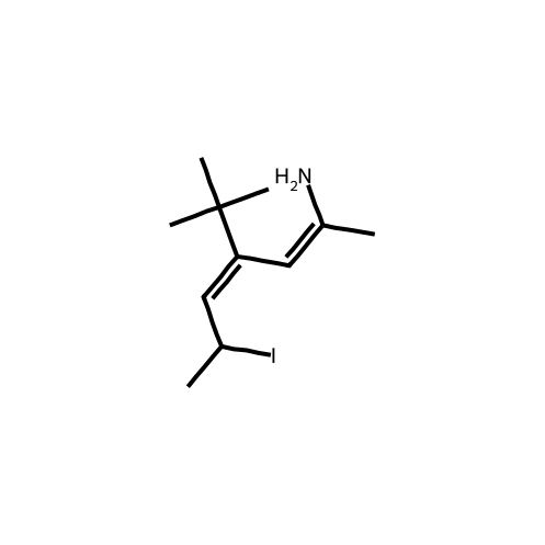 C/C(N)=C/C(=C\C(C)I)C(C)(C)C